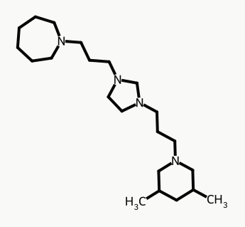 CC1CC(C)CN(CCCN2CCN(CCCN3CCCCCC3)C2)C1